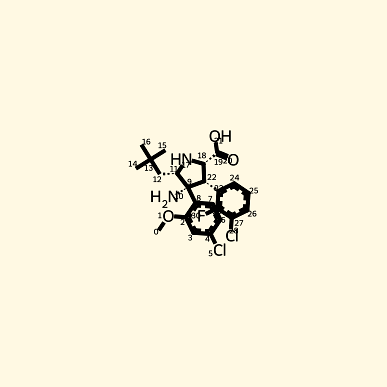 COc1cc(Cl)ccc1[C@@]1(N)[C@H](CC(C)(C)C)N[C@H](C(=O)O)[C@@H]1c1cccc(Cl)c1F